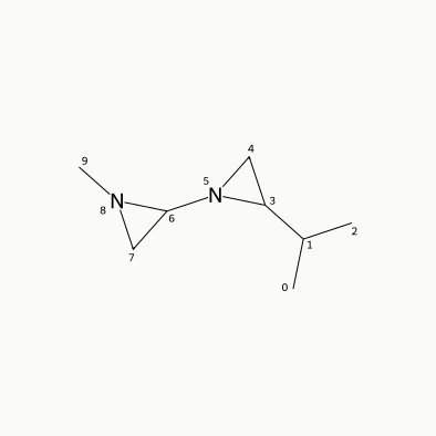 CC(C)C1CN1C1CN1C